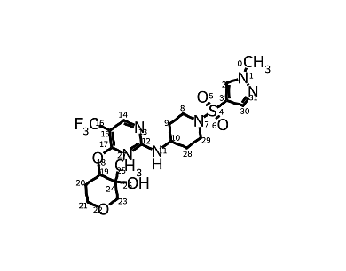 Cn1cc(S(=O)(=O)N2CCC(Nc3ncc(C(F)(F)F)c(OC4CCOCC4(C)O)n3)CC2)cn1